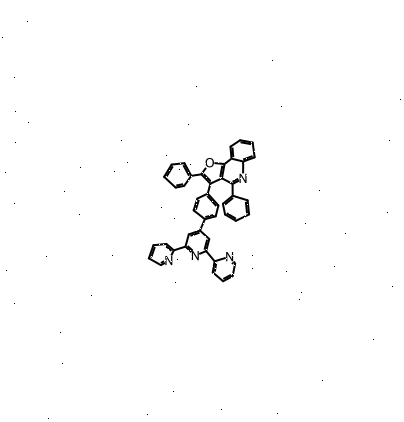 c1ccc(-c2oc3c(c(-c4ccccc4)nc4ccccc43)c2-c2ccc(-c3cc(-c4ccccn4)nc(-c4ccccn4)c3)cc2)cc1